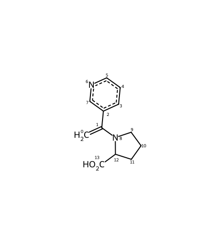 C=C(c1cccnc1)N1CCCC1C(=O)O